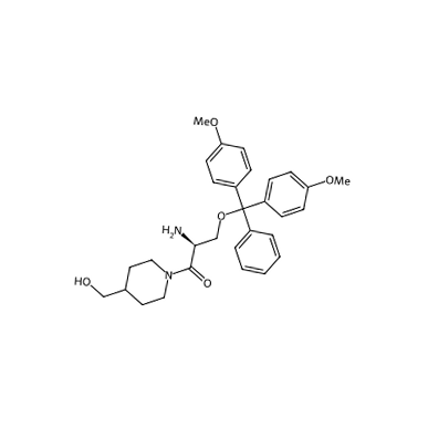 COc1ccc(C(OC[C@H](N)C(=O)N2CCC(CO)CC2)(c2ccccc2)c2ccc(OC)cc2)cc1